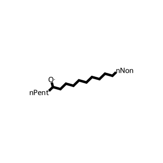 CCCCCCCCCCCCCCCCCCC([O])CCCCC